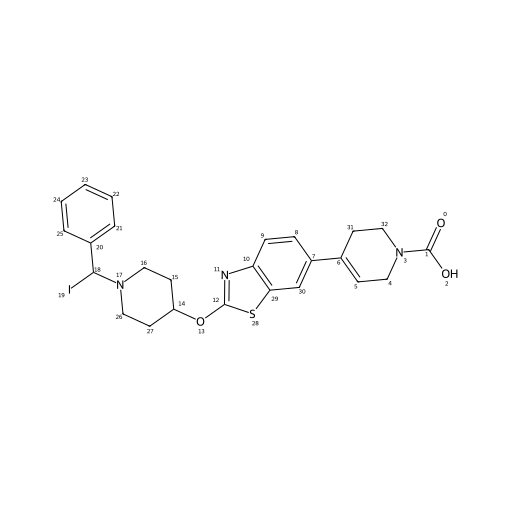 O=C(O)N1CC=C(c2ccc3nc(OC4CCN(C(I)c5ccccc5)CC4)sc3c2)CC1